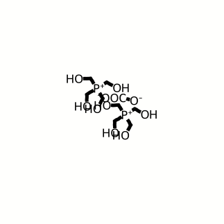 O=C([O-])[O-].OC[P+](CO)(CO)CO.OC[P+](CO)(CO)CO